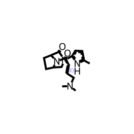 Cc1ccc(N2CC3CCC(C2=O)N3C(=O)/C=C/CN(C)C)[nH]1